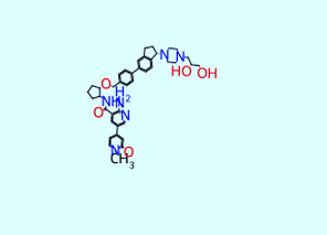 Cn1ccc(-c2cnc(N)c(C(=O)N[C@H]3CCC[C@@H]3OCc3ccc(-c4ccc5c(c4)CC[C@@H]5N4CCN(CC(O)CO)CC4)cc3)c2)cc1=O